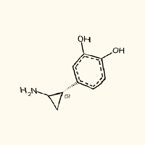 NC1C[C@H]1c1ccc(O)c(O)c1